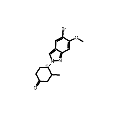 COc1cc2nn([C@H]3CCC(=O)CC3C)cc2cc1Br